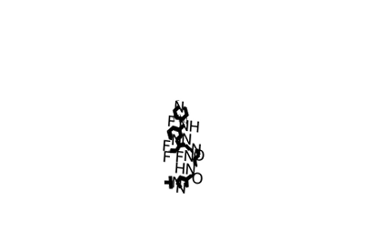 CN1CC[C@@H](Nc2cccn3c(C(F)=C(F)F)c(-c4noc(CNC(=O)c5cnn(C(C)(C)C)c5)n4)nc23)[C@@H](F)C1